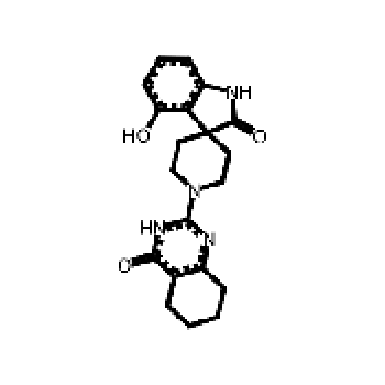 O=C1Nc2cccc(O)c2C12CCN(c1nc3c(c(=O)[nH]1)CCCC3)CC2